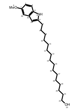 COc1ccc2[nH]c(CCCCCCCCCCCCCCCCO)cc2c1